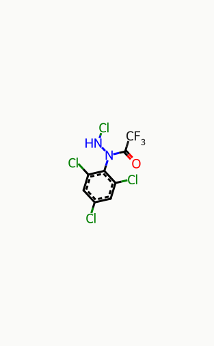 O=C(N(NCl)c1c(Cl)cc(Cl)cc1Cl)C(F)(F)F